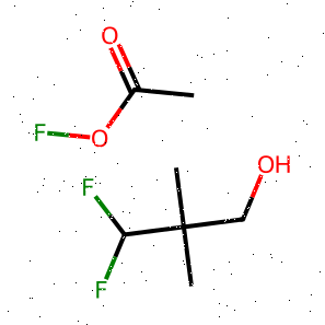 CC(=O)OF.CC(C)(CO)C(F)F